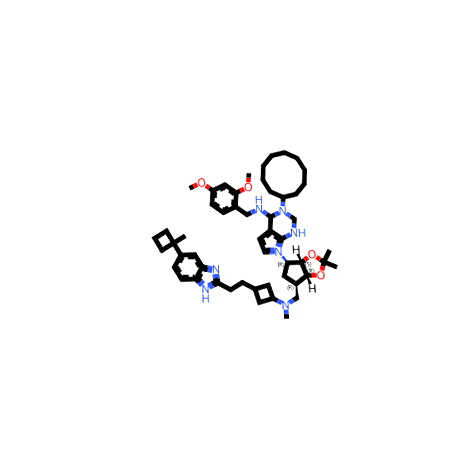 COc1ccc(CNC2c3ccn([C@@H]4C[C@H](CN(C)C5CC(CCc6nc7cc(C8(C)CCC8)ccc7[nH]6)C5)[C@H]5OC(C)(C)O[C@H]54)c3NCN2C2CCCCCCCCC2)c(OC)c1